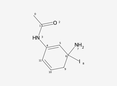 CC(=O)NC1=CC(N)(I)CC=C1